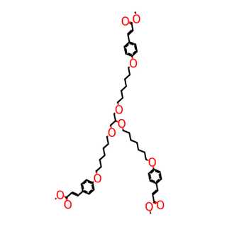 COC(=O)C=Cc1ccc(OCCCCCCCOCC(COCCCCCCCOc2ccc(C=CC(=O)OC)cc2)OCCCCCCCOc2ccc(C=CC(=O)OC)cc2)cc1